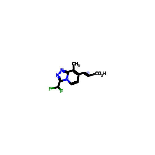 Cc1c(/C=C/C(=O)O)ccn2c(C(F)F)nnc12